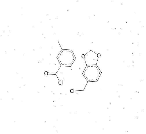 Cc1cccc(C(=O)Cl)c1.ClCc1ccc2c(c1)OCO2